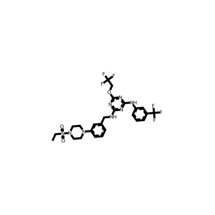 CCS(=O)(=O)N1CCN(c2cccc(CNc3nc(Nc4cccc(C(F)(F)F)c4)nc(OCC(F)(F)F)n3)c2)CC1